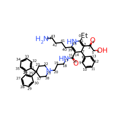 CCC1=C(C(=O)CO)C(c2ccccc2)C(C(=O)NCCCN2CCC(c3ccccc3)(c3ccccc3)CC2)=C(CCCCN)N1